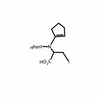 CCCCCN(C1=CCCC1)C(CI)C(=O)O